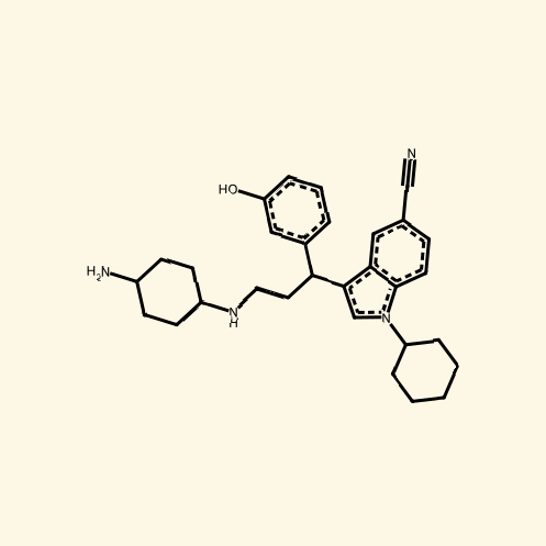 N#Cc1ccc2c(c1)c(C(CCNC1CCC(N)CC1)c1cccc(O)c1)cn2C1CCCCC1